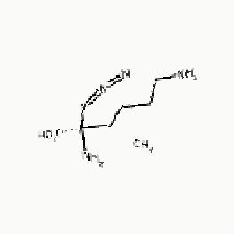 C.[N-]=[N+]=N[C@](N)(CCCCN)C(=O)O